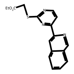 CCOC(=O)CSc1nccc(-c2cc3ccccc3cn2)n1